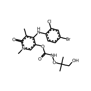 Cc1c(Nc2ccc(Br)cc2Cl)c(OC(=O)NOC(C)(C)CO)cn(C)c1=O